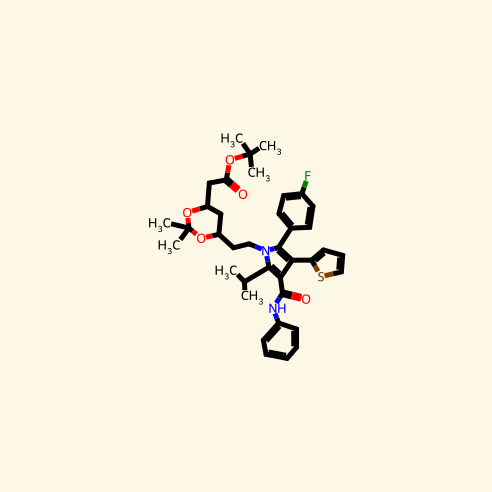 CC(C)c1c(C(=O)Nc2ccccc2)c(-c2cccs2)c(-c2ccc(F)cc2)n1CCC1CC(CC(=O)OC(C)(C)C)OC(C)(C)O1